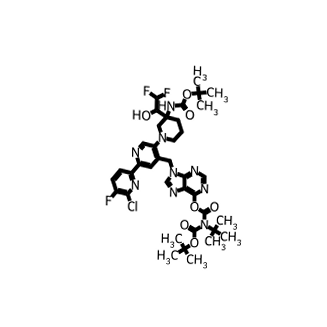 CC(C)(C)OC(=O)NC1(C(O)C(F)F)CCCN(c2cnc(-c3ccc(F)c(Cl)n3)cc2Cn2cnc3c(OC(=O)N(C(=O)OC(C)(C)C)C(C)(C)C)ncnc32)C1